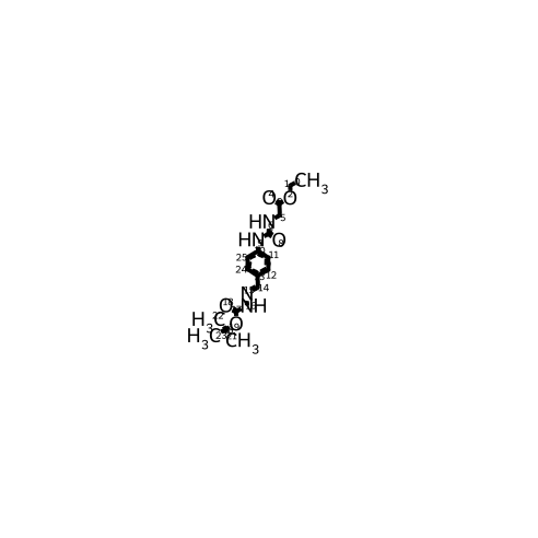 CCOC(=O)CNC(=O)Nc1ccc(C=NNC(=O)OC(C)(C)C)cc1